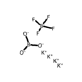 F[B-](F)(F)F.[K+].[K+].[K+].[K+].[O-]B([O-])[O-]